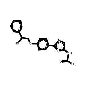 O=C(Nc1cnc(-c2ccc(OCC(O)c3ccccc3)cc2)o1)C(F)(F)F